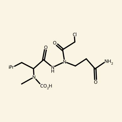 CC(C)CC(C(=O)NN(CCC(N)=O)C(=O)CCl)N(C)C(=O)O